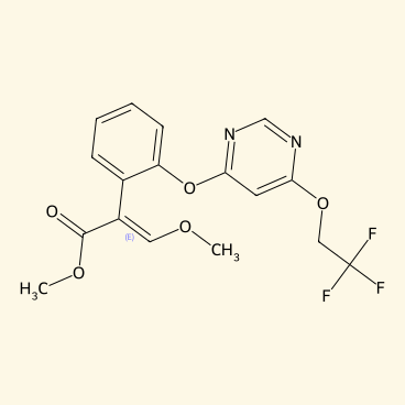 CO/C=C(/C(=O)OC)c1ccccc1Oc1cc(OCC(F)(F)F)ncn1